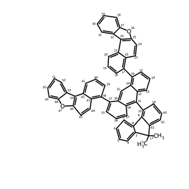 CC1(C)c2ccccc2-c2c(-c3c4cccc(-c5cccc6c5ccc5oc7ccccc7c56)c4cc4c(-c5cccc6c5ccc5oc7ccccc7c56)cccc34)cccc21